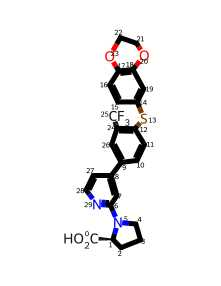 O=C(O)[C@@H]1CCCN1c1cc(-c2ccc(Sc3ccc4c(c3)OCCO4)c(C(F)(F)F)c2)ccn1